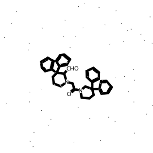 O=CC1N(CC(=O)N2CCCC(c3ccccc3)(c3ccccc3)C2)CCCC1(c1ccccc1)c1ccccc1